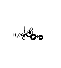 COC(=O)[C@](C)(Cc1ccc(-n2cccc2)cc1)NC=O